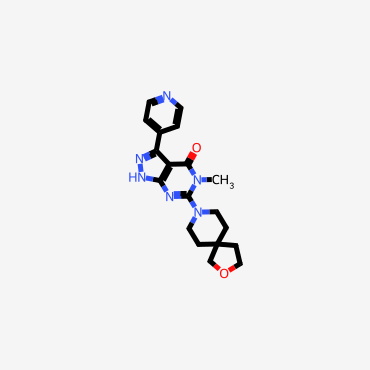 Cn1c(N2CCC3(CCOC3)CC2)nc2[nH]nc(-c3ccncc3)c2c1=O